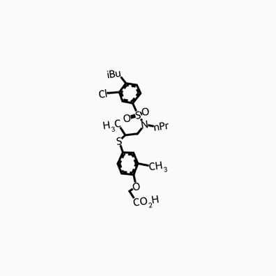 CCCN(CC(C)Sc1ccc(OCC(=O)O)c(C)c1)S(=O)(=O)c1ccc(C(C)CC)c(Cl)c1